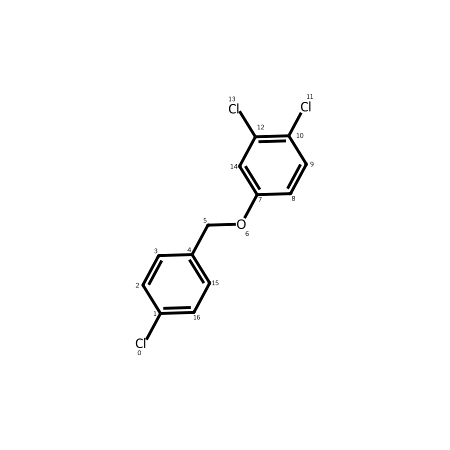 Clc1ccc(COc2ccc(Cl)c(Cl)c2)cc1